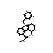 COC(=O)c1cccc2c1c1c(n2Cc2cccnc2)CCCC1=O